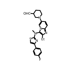 CCc1nc2ccc(N3CCCC(C=O)C3)cn2c1N(C)c1nc(-c2ccc(F)cc2)cs1